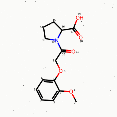 COc1ccccc1OCC(=O)N1CCCC1C(=O)O